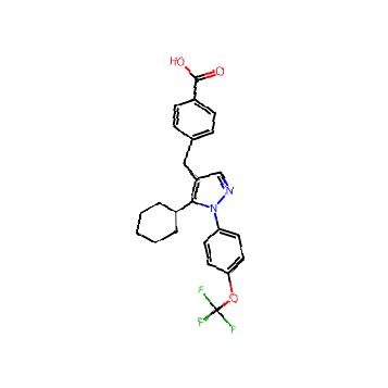 O=C(O)c1ccc(Cc2cnn(-c3ccc(OC(F)(F)F)cc3)c2C2CCCCC2)cc1